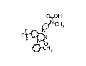 Cc1ccccc1-n1c(=O)nc(N2CC[C@H](N(C)C(=O)O)C2)c2ccc(C(F)(F)F)cc21